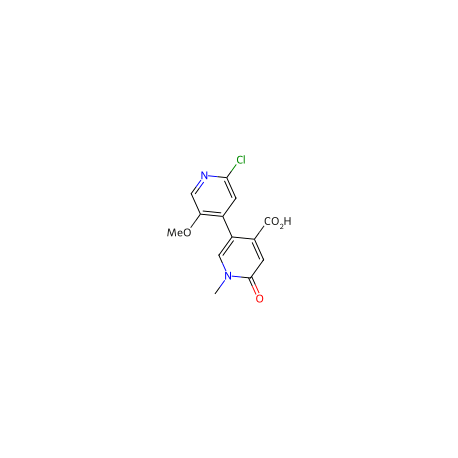 COc1cnc(Cl)cc1-c1cn(C)c(=O)cc1C(=O)O